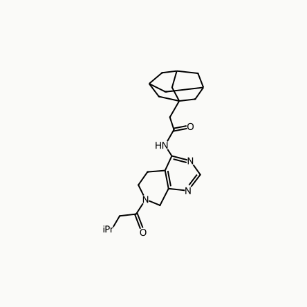 CC(C)CC(=O)N1CCc2c(ncnc2NC(=O)CC23CC4CC(CC(C4)C2)C3)C1